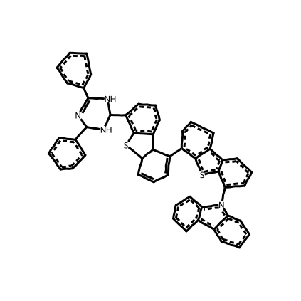 C1=CC2Sc3c(C4NC(c5ccccc5)=NC(c5ccccc5)N4)cccc3C2C(c2cccc3c2sc2c(-n4c5ccccc5c5ccccc54)cccc23)=C1